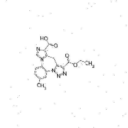 CCOC(=O)c1nnn2c1Cc1c(C(=O)O)ncn1-c1ccc(C)cc1-2